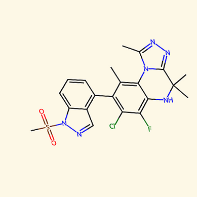 Cc1c(-c2cccc3c2cnn3S(C)(=O)=O)c(Cl)c(F)c2c1-n1c(C)nnc1C(C)(C)N2